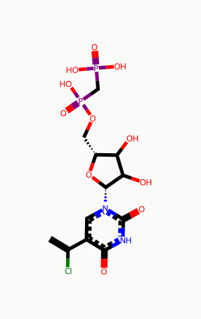 C=C(Cl)c1cn([C@@H]2O[C@H](COP(=O)(O)CP(=O)(O)O)C(O)C2O)c(=O)[nH]c1=O